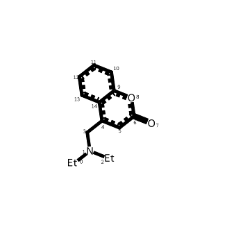 CCN(CC)Cc1cc(=O)oc2ccccc12